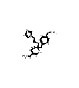 CCc1ccc(CC2(CCCn3ccnc3)SCC(CC)CS2)cc1